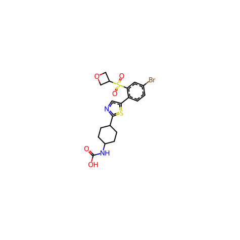 O=C(O)NC1CCC(c2ncc(-c3ccc(Br)cc3S(=O)(=O)C3COC3)s2)CC1